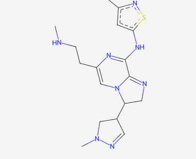 CNCCC1=CN2C(=NCC2C2C=NN(C)C2)C(Nc2cc(C)ns2)=N1